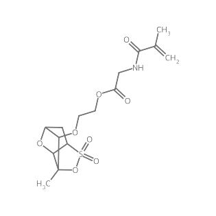 C=C(C)C(=O)NCC(=O)OCCOC1C2CC3C(O2)C1(C)OS3(=O)=O